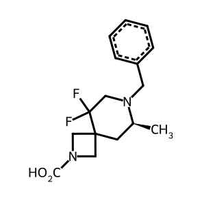 C[C@H]1CC2(CN(C(=O)O)C2)C(F)(F)CN1Cc1ccccc1